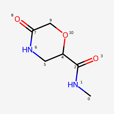 CNC(=O)C1CNC(=O)CO1